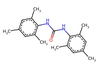 Cc1cc(C)c(NC(=O)Nc2c(C)cc(C)cc2C)c(C)c1